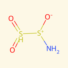 N[S+]([O-])[SH](=O)=O